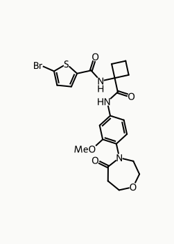 COc1cc(NC(=O)C2(NC(=O)c3ccc(Br)s3)CCC2)ccc1N1CCOCCC1=O